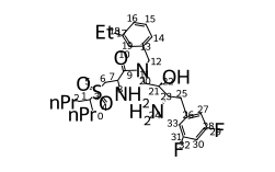 CCCC(CCC)S(=O)(=O)CC(N)C(=O)N(Cc1cccc(CC)c1)C[C@@H](O)[C@@H](N)Cc1cc(F)cc(F)c1